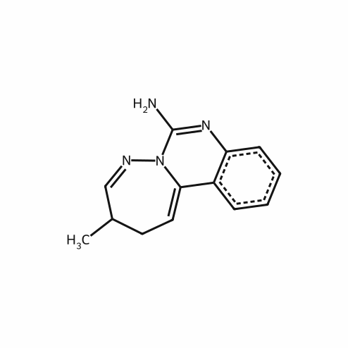 CC1C=NN2C(=CC1)c1ccccc1N=C2N